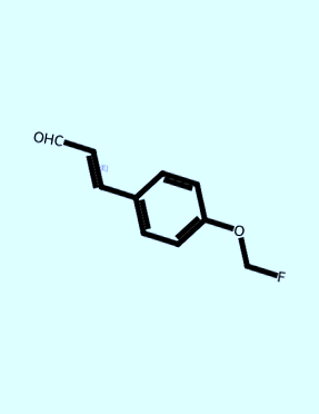 O=C/C=C/c1ccc(OCF)cc1